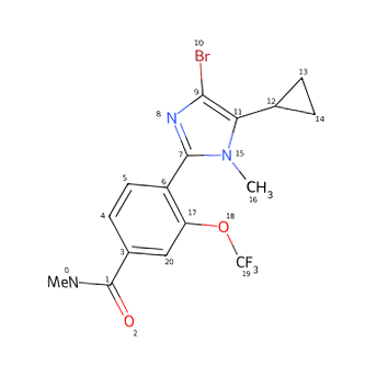 CNC(=O)c1ccc(-c2nc(Br)c(C3CC3)n2C)c(OC(F)(F)F)c1